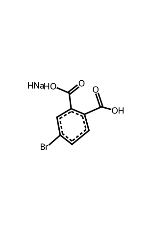 O=C(O)c1ccc(Br)cc1C(=O)O.[NaH]